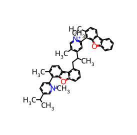 Cc1c[n+](C)c(-c2c(C)ccc3c2oc2ccccc23)cc1C(C)Cc1cccc2oc3c(-c4ccc(C(C)C)c[n+]4C)c(C)ccc3c12